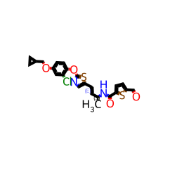 C[C@@H](/C=C/c1cnc(Oc2ccc(OCC3CC3)cc2Cl)s1)NC(=O)c1ccc(C=O)s1